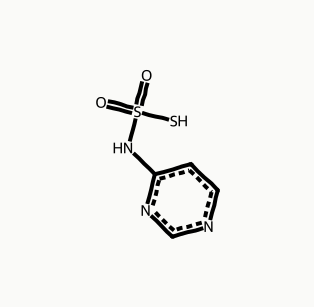 O=S(=O)(S)Nc1ccncn1